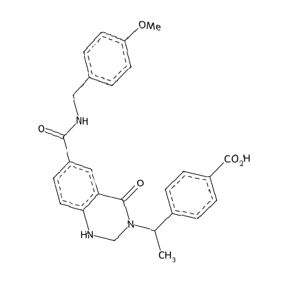 COc1ccc(CNC(=O)c2ccc3c(c2)C(=O)N(C(C)c2ccc(C(=O)O)cc2)CN3)cc1